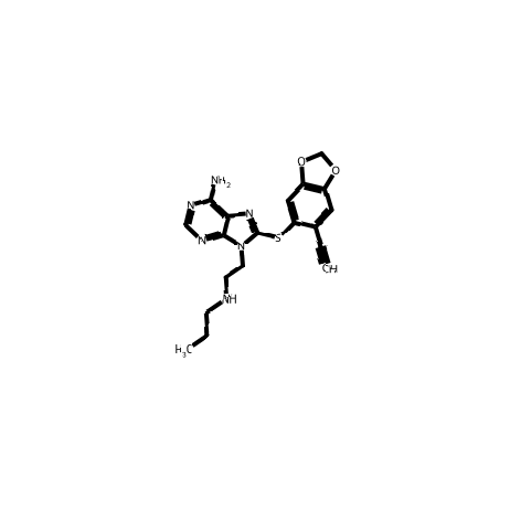 C#Cc1cc2c(cc1Sc1nc3c(N)ncnc3n1CCNCCC)OCO2